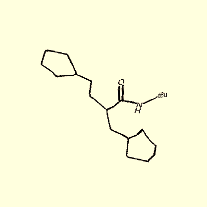 CC(C)(C)NC(=O)C(CCC1CCCC1)CC1CCCC1